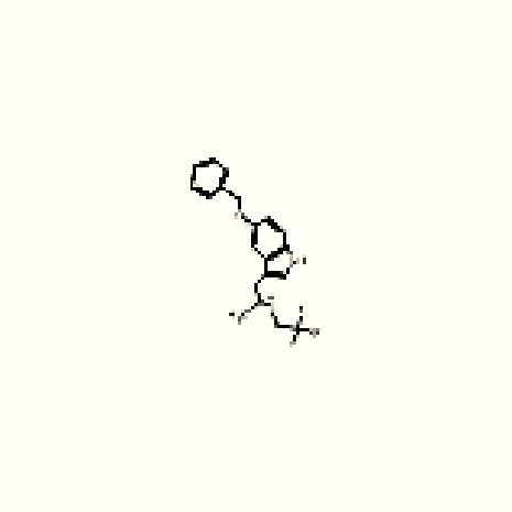 CC(Cc1c[nH]c2ccc(OCc3ccccc3)cc12)NCC(F)(F)F